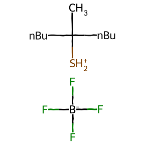 CCCCC(C)([SH2+])CCCC.F[B-](F)(F)F